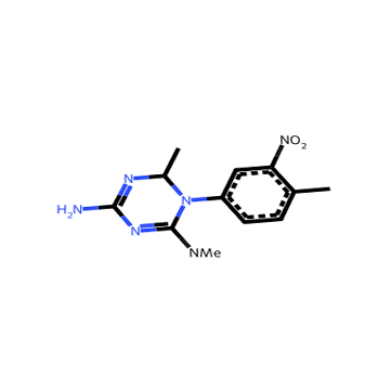 CNC1=NC(N)=NC(C)N1c1ccc(C)c([N+](=O)[O-])c1